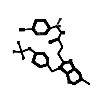 Cc1cnc2c(c1)nc(CCC(=O)N[C@@H](C)c1ccc(O)cc1)n2Cc1ccc(OC(F)(F)F)cc1